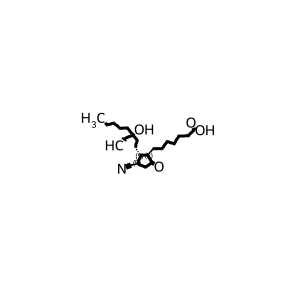 C#CC(O)(CCCCC)CC[C@H]1[C@H](C#N)CC(=O)[C@@H]1CCCCCCC(=O)O